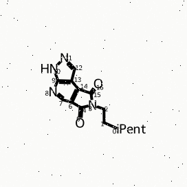 CCCC(C)CCN1C(=O)c2cnc3[nH]ncc3c2C1=O